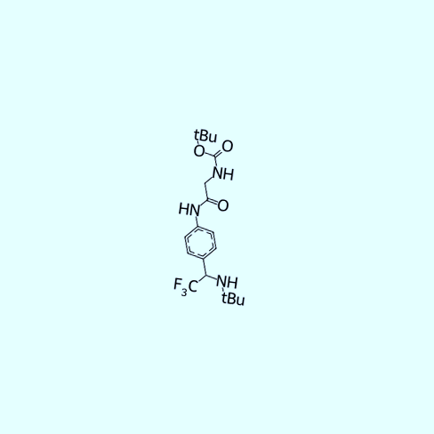 CC(C)(C)NC(c1ccc(NC(=O)CNC(=O)OC(C)(C)C)cc1)C(F)(F)F